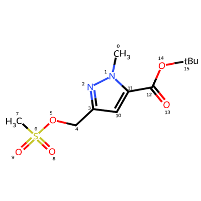 Cn1nc(COS(C)(=O)=O)cc1C(=O)OC(C)(C)C